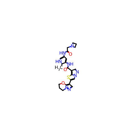 CC1NC=C(NC(=O)CN2CCC2)C=C1NC(=O)c1cnn2cc(-c3cnn4c3OCCC4)sc12